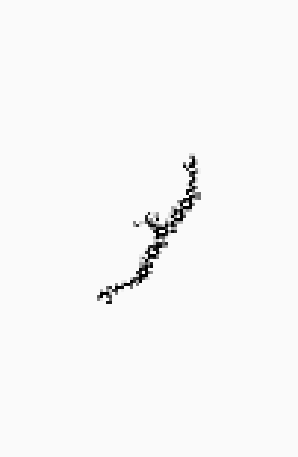 C=CC(=O)OCCCCCCOc1ccc(OC(=O)C2CCC(C(=O)Oc3ccc(OC(=O)C4CCC(C5CCC(C(=O)OCCCCOC(=O)C=C)CC5)CC4)c4c3SC(=C(C#N)C#N)S4)CC2)cc1